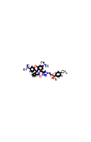 CCN(CC)c1ccc2c(c1)Oc1cc(N(CC)CC)ccc1C21c2ccccc2C(=O)N1Cc1cn(CCOS(=O)(=O)c2ccc(C)cc2)nn1